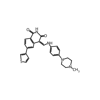 CN1CCN(c2ccc(N/C=C3\C(=O)NC(=O)c4ccc(-c5ccsc5)cc43)cc2)CC1